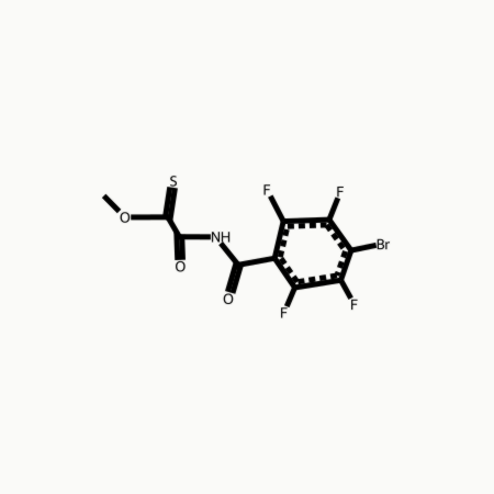 COC(=S)C(=O)NC(=O)c1c(F)c(F)c(Br)c(F)c1F